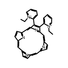 CC[n+]1ccccc1C1=C(c2cccc[n+]2CC)C2=NC1=CC1=NC(=CC3=NC(=CC4=NC(=C2)C=C4)C=C3)C=C1